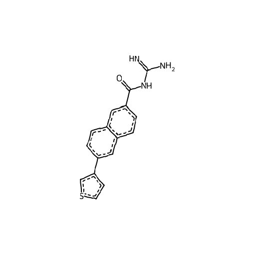 N=C(N)NC(=O)c1ccc2cc(-c3ccsc3)ccc2c1